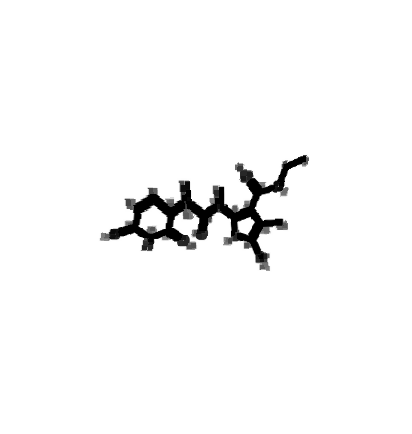 CCOC(=O)c1c(NC(=O)NC2CCC(=O)NC2=O)sc(Br)c1C